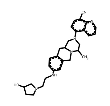 CC1CN(c2ccc(C#N)c3ncccc23)CC2Cc3ccc(NCCN4CCC(O)C4)cc3CN12